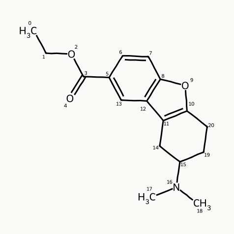 CCOC(=O)c1ccc2oc3c(c2c1)CC(N(C)C)CC3